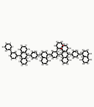 c1ccc(-c2cccc(-c3c4ccccc4c(-c4ccc(-c5ccc(-c6ccc(-c7c8ccccc8c(-c8ccc(-c9cccc%10ccccc9%10)nc8)c8ccccc78)c(-c7ccccc7)c6)c6ccccc56)nc4)c4ccccc34)c2)cc1